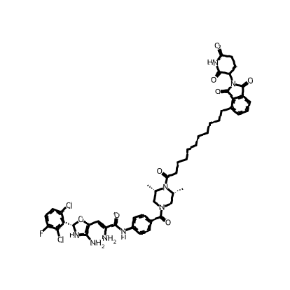 C[C@@H]1CN(C(=O)c2ccc(NC(=O)/C(N)=C/C3=C(N)N[C@H](c4c(Cl)ccc(F)c4Cl)O3)cc2)C[C@H](C)N1C(=O)CCCCCCCCCCc1cccc2c1C(=O)N(C1CCC(=O)NC1=O)C2=O